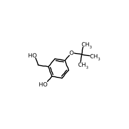 CC(C)(C)Oc1ccc(O)c(CO)c1